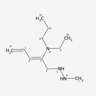 C=CC=C(CNNC)N(CC)CCC